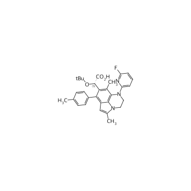 Cc1ccc(-c2c([C@H](OC(C)(C)C)C(=O)O)c(C)c3c4c2cc(C)n4CCN3c2cccc(F)n2)cc1